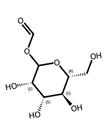 O=COC1O[C@H](CO)[C@@H](O)[C@H](O)[C@@H]1O